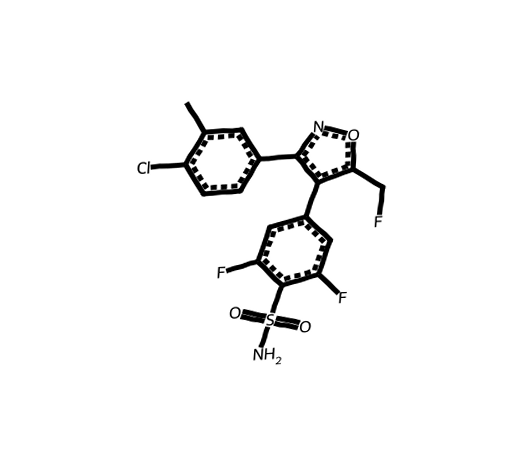 Cc1cc(-c2noc(CF)c2-c2cc(F)c(S(N)(=O)=O)c(F)c2)ccc1Cl